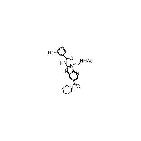 CC(=O)NCCn1c(NC(=O)c2cccc(C#N)c2)nc2cc(C(=O)N3CCCCC3)cnc21